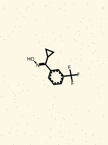 ON=C(c1cccc(C(F)(F)F)c1)C1CC1